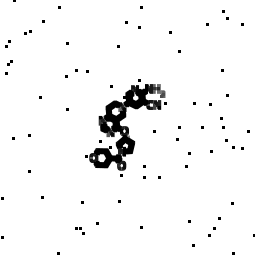 N#Cc1cc(N2CCc3ncnc(O[C@H]4CCN(C(=O)C5CCOCC5)C4)c3C2)cnc1N